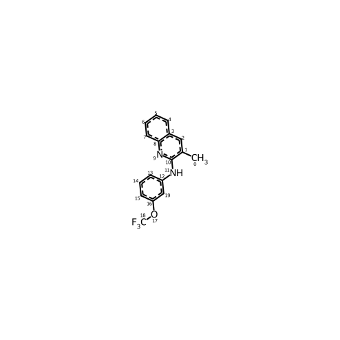 Cc1cc2ccccc2nc1Nc1cccc(OC(F)(F)F)c1